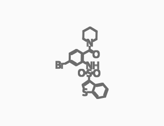 O=C(c1ccc(Br)cc1NS(=O)(=O)c1csc2ccccc12)N1CCCCC1